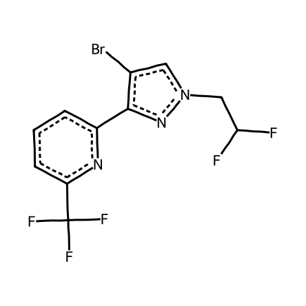 FC(F)Cn1cc(Br)c(-c2cccc(C(F)(F)F)n2)n1